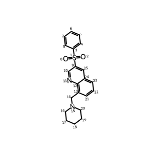 O=S(=O)(c1ccccc1)c1cnc2c(CN3CCCCC3)cccc2c1